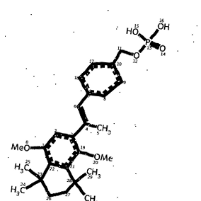 COc1cc(C(C)=Cc2ccc(COP(=O)(O)O)cc2)c(OC)c2c1C(C)(C)CCC2(C)C